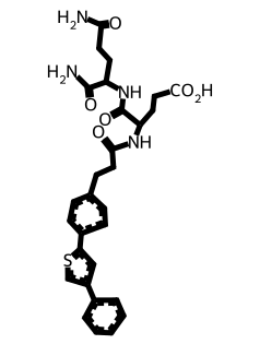 NC(=O)CCC(NC(=O)C(CCC(=O)O)NC(=O)CCc1ccc(-c2cc(-c3ccccc3)cs2)cc1)C(N)=O